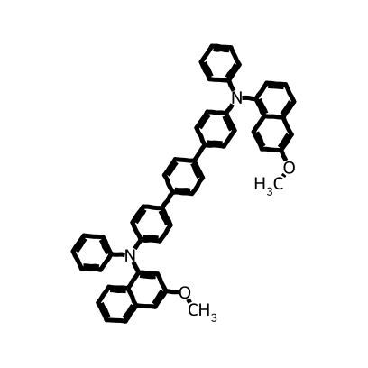 COc1ccc2c(N(c3ccccc3)c3ccc(-c4ccc(-c5ccc(N(c6ccccc6)c6cc(OC)cc7ccccc67)cc5)cc4)cc3)cccc2c1